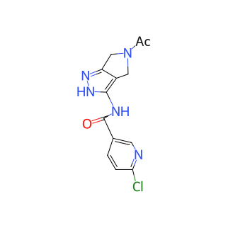 CC(=O)N1Cc2n[nH]c(NC(=O)c3ccc(Cl)nc3)c2C1